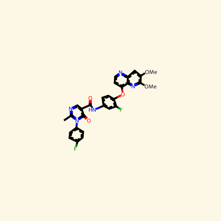 COc1cc2nccc(Oc3ccc(NC(=O)c4cnc(C)n(-c5ccc(F)cc5)c4=O)cc3F)c2nc1OC